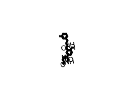 Cc1cccc(CCNC(=O)c2cc(-n3ncc(=O)[nH]c3=O)ccc2CI)c1